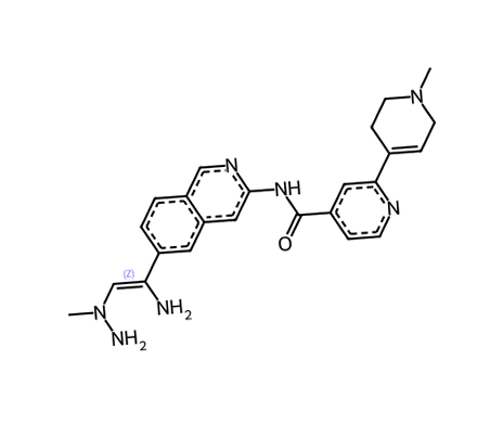 CN(N)/C=C(\N)c1ccc2cnc(NC(=O)c3ccnc(C4=CCN(C)CC4)c3)cc2c1